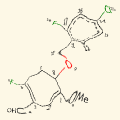 COC1=CC(C=O)=C(F)CC1OCc1ccc(Cl)cc1F